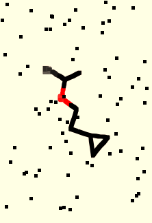 CCC(C)OCCC1CC1